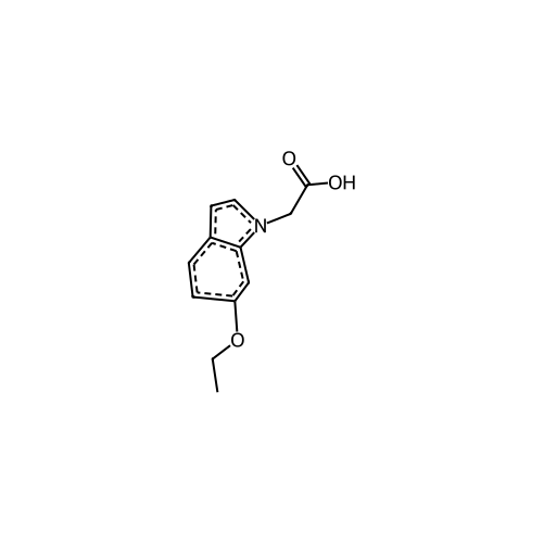 CCOc1ccc2ccn(CC(=O)O)c2c1